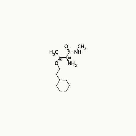 CNC(=O)[C@@H](N)[C@@H](C)OCCC1CCCCC1